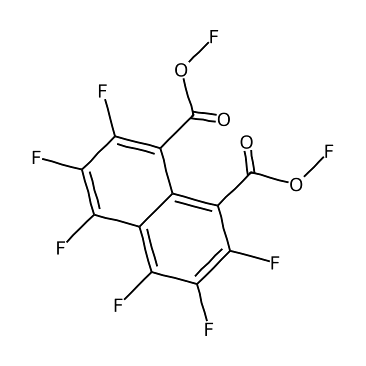 O=C(OF)c1c(F)c(F)c(F)c2c(F)c(F)c(F)c(C(=O)OF)c12